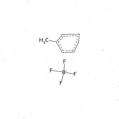 Cc1[c]cccc1.F[B-](F)(F)F